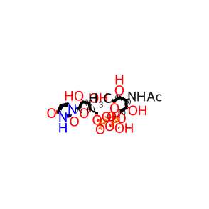 CC(=O)N[C@@H]1C(O)[C@@H](OP(=O)(O)OP(=O)(O)OC[C@H]2O[C@@H](n3ccc(=O)[nH]c3=O)C(O)[C@H]2O)OC(C)[C@H]1O